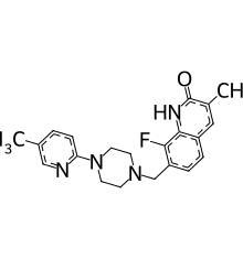 Cc1ccc(N2CCN(Cc3ccc4cc(C)c(=O)[nH]c4c3F)CC2)nc1